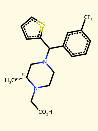 C[C@@H]1CN(C(c2cccc(C(F)(F)F)c2)c2cccs2)CCN1CC(=O)O